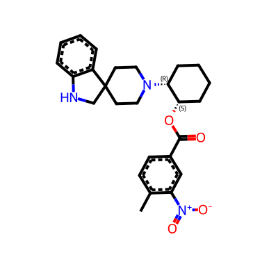 Cc1ccc(C(=O)O[C@H]2CCCC[C@H]2N2CCC3(CC2)CNc2ccccc23)cc1[N+](=O)[O-]